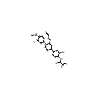 C=C/C=C/c1cc(-c2ccc(OC(=O)C(=C)C)c(F)c2)ccc1-c1ccc(OC)c(F)c1